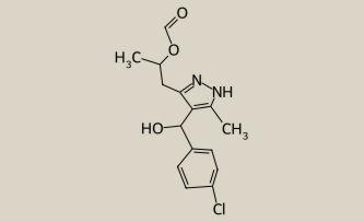 Cc1[nH]nc(CC(C)OC=O)c1C(O)c1ccc(Cl)cc1